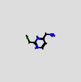 NCc1ccnc(CF)n1